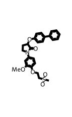 COc1cc(N2CCC(Oc3ccc(-c4ccccc4)cc3)C2=O)ccc1OCCS(C)(=O)=O